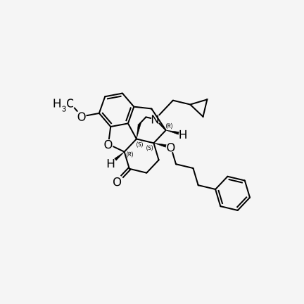 COc1ccc2c3c1O[C@H]1C(=O)CC[C@@]4(OCCCc5ccccc5)[C@@H](C2)N(CC2CC2)CC[C@]314